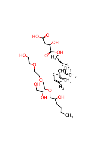 C=CC.C=CC.C=CC.C=CC.CCCCC(O)COCCOCCOCCO.O=C(O)CC(O)C(=O)O.OCCO